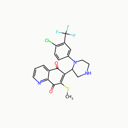 CSC1=C(C2CNCCN2c2ccc(Cl)c(C(F)(F)F)c2)C(=O)c2cccnc2C1=O